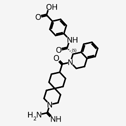 N=C(N)N1CCC2(CCC(C(=O)N3CCc4ccccc4[C@H]3C(=O)Nc3ccc(C(=O)O)cc3)CC2)CC1